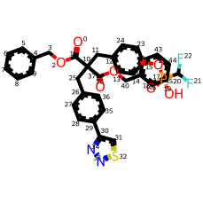 O=C(OCc1ccccc1)C(Cc1ccc(OP(=O)(O)C(F)F)cc1)(Cc1ccc(-c2csnn2)cc1)C(=O)OCc1ccccc1